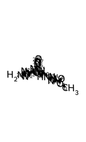 CCOC(=O)c1cnc(NCc2cn3cc(-c4cnc(N)nc4)nc(N4CCOCC4)c3n2)nc1